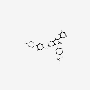 CCC(=O)N[C@H]1CC[C@@H](n2c(=O)c(-c3cccc(F)c3Cl)c(C)c3cnc(Nc4ccc(N5CCN(C(C)C)CC5)c(C)c4)nc32)CC1